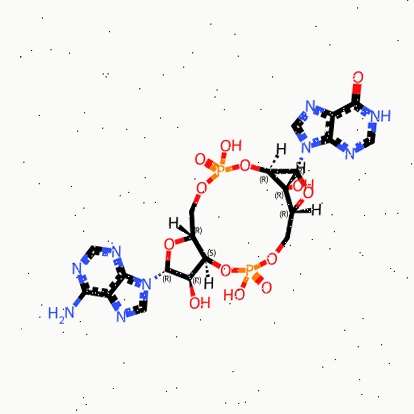 Nc1ncnc2c1ncn2[C@@H]1O[C@@H]2COP(=O)(O)O[C@@H]3[C@H](O)[C@@H](COP(=O)(O)O[C@H]2[C@H]1O)O[C@H]3n1cnc2c(=O)[nH]cnc21